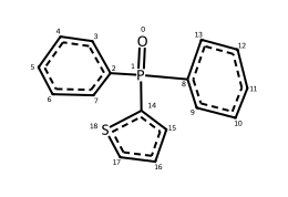 O=P(c1ccccc1)(c1ccccc1)c1cccs1